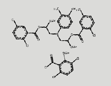 COC(CN(CC(OC)OC(=O)c1cc(Cl)ccc1Cl)c1ccc(C)c(C)c1)OC(=O)c1cc(Cl)ccc1Cl.COc1c(Cl)ccc(Cl)c1C(=O)Cl